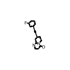 O=c1ccnc2cc(C#Cc3cccc(F)c3)ccn12